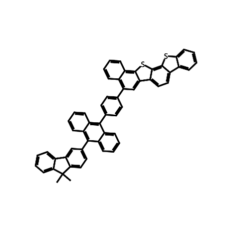 CC1(C)c2ccccc2-c2cc(-c3c4ccccc4c(-c4ccc(-c5cc6c7ccc8c9ccccc9sc8c7sc6c6ccccc56)cc4)c4ccccc34)ccc21